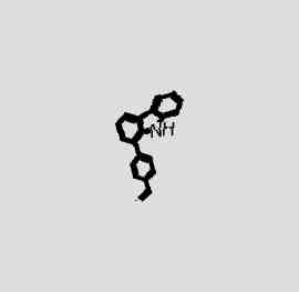 [CH]=Cc1ccc(-c2cccc3c2[nH]c2ccccc23)cc1